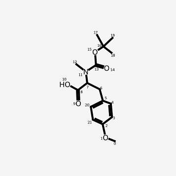 COc1ccc(CC(C(=O)O)N(C)C(=O)OC(C)(C)C)cc1